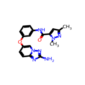 Cc1cc(C(=O)Nc2cccc(Oc3ccc4nc(N)nn4c3)c2)n(C)n1